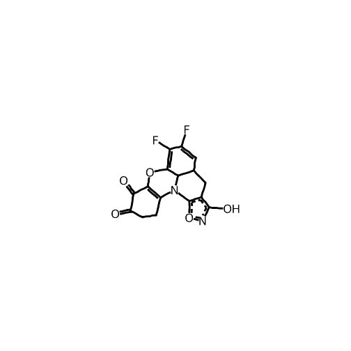 O=C1CCC2=C(OC3=C(F)C(F)=CC4Cc5c(O)noc5N2C34)C1=O